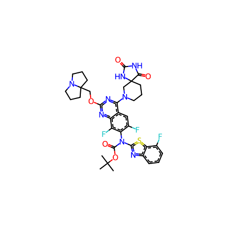 CC(C)(C)OC(=O)N(c1nc2cccc(F)c2s1)c1c(F)cc2c(N3CCCC4(C3)NC(=O)NC4=O)nc(OCC34CCCN3CCC4)nc2c1F